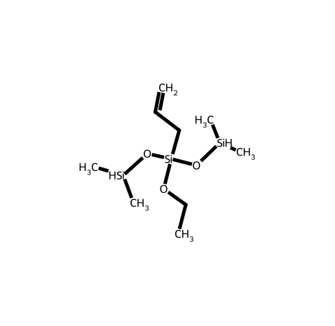 C=CC[Si](OCC)(O[SiH](C)C)O[SiH](C)C